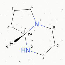 C1CN[C@@H]2CCCN2C1